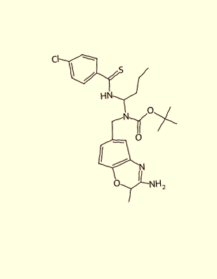 CCCC(NC(=S)c1ccc(Cl)cc1)N(Cc1ccc2c(c1)N=C(N)C(C)O2)C(=O)OC(C)(C)C